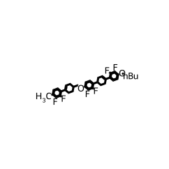 CCCCOc1ccc(C2=CCC(c3ccc(OCC4CC=C(c5ccc(C)c(F)c5F)CC4)c(F)c3F)CC2)c(F)c1F